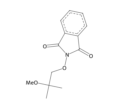 COC(C)(C)CON1C(=O)c2ccccc2C1=O